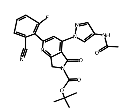 CC(=O)Nc1cnn(-c2cc(-c3c(F)cccc3C#N)nc3c2C(=O)N(C(=O)OC(C)(C)C)C3)c1